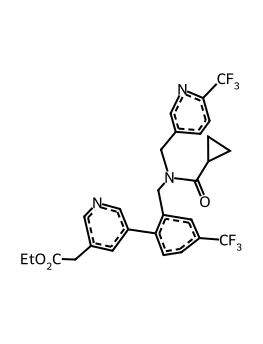 CCOC(=O)Cc1cncc(-c2ccc(C(F)(F)F)cc2CN(Cc2ccc(C(F)(F)F)nc2)C(=O)C2CC2)c1